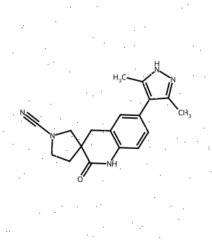 Cc1n[nH]c(C)c1-c1ccc2c(c1)CC1(CCN(C#N)C1)C(=O)N2